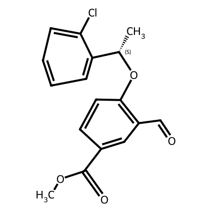 COC(=O)c1ccc(O[C@@H](C)c2ccccc2Cl)c(C=O)c1